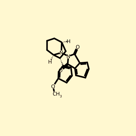 COc1cccc([C@H]2C[C@@H]3CCC[C@H]2N3N2C(=O)c3ccccc3C2=O)c1